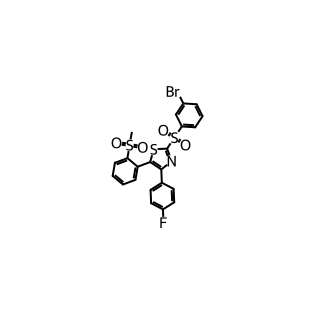 CS(=O)(=O)c1ccccc1-c1sc(S(=O)(=O)c2cccc(Br)c2)nc1-c1ccc(F)cc1